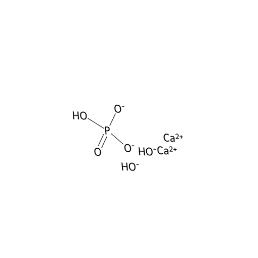 O=P([O-])([O-])O.[Ca+2].[Ca+2].[OH-].[OH-]